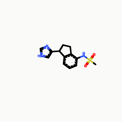 CS(=O)(=O)Nc1cccc2c1CCC2c1c[nH]cn1